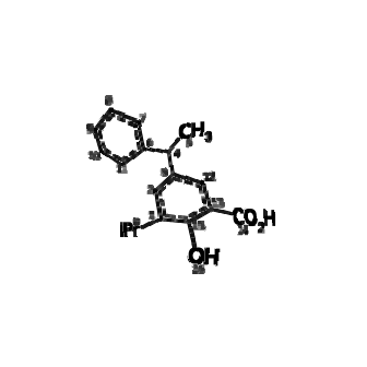 CC(C)c1cc(C(C)c2ccccc2)cc(C(=O)O)c1O